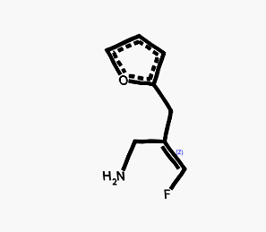 NC/C(=C\F)Cc1ccco1